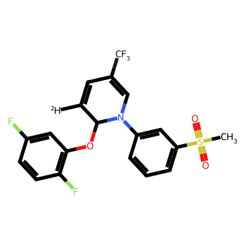 [2H]C1=CC(C(F)(F)F)=CN(c2cccc(S(C)(=O)=O)c2)C1Oc1cc(F)ccc1F